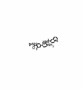 CC(C)(Nc1nc(-c2ccc(C(=O)NC3CC3)c(F)c2)ccc1N)c1ccc2ncccc2c1